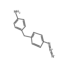 [N-]=[N+]=Nc1ccc(Cc2ccc(N)cc2)cc1